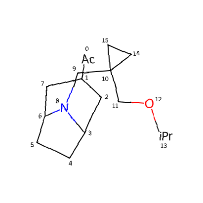 CC(=O)C1CC2CCC(C1)N2CC1(COC(C)C)CC1